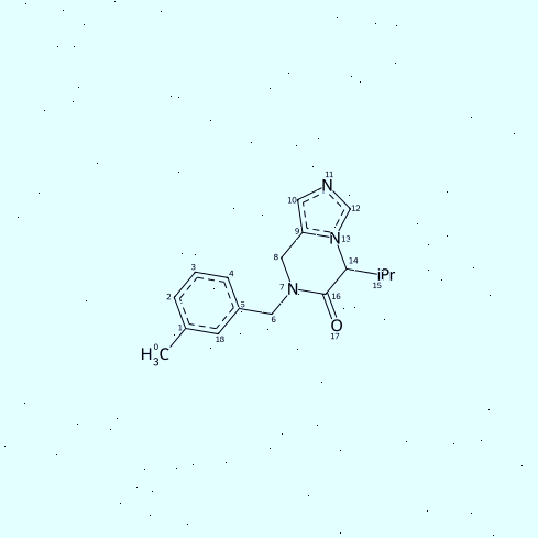 Cc1cccc(CN2Cc3cncn3C(C(C)C)C2=O)c1